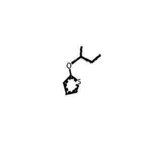 CCC(C)Oc1cccs1